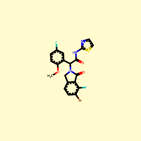 COc1ccc(F)cc1C(C(=O)Nc1nccs1)N1Cc2ccc(Br)c(F)c2C1=O